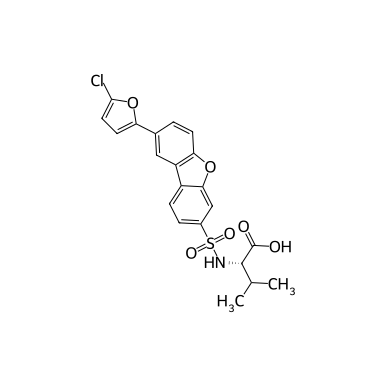 CC(C)[C@H](NS(=O)(=O)c1ccc2c(c1)oc1ccc(-c3ccc(Cl)o3)cc12)C(=O)O